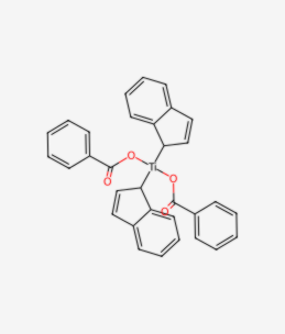 O=C([O][Ti]([O]C(=O)c1ccccc1)([CH]1C=Cc2ccccc21)[CH]1C=Cc2ccccc21)c1ccccc1